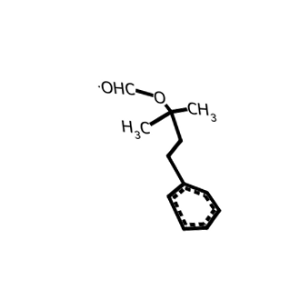 CC(C)(CCc1ccccc1)O[C]=O